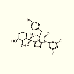 C[C@@]1(Cc2ccc(Br)cc2)C(=O)N(c2cc(Cl)cc(Cl)c2)c2ncc(S(=O)(=O)C3CCCC(O)C3O)n21